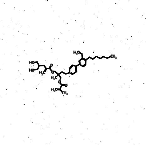 C=C(C)C(=O)OCC(C)(CCc1ccc(-c2ccc(CCCCCCC)c(CC)c2)cc1)COC(=O)C(=C)CC(CO)CO